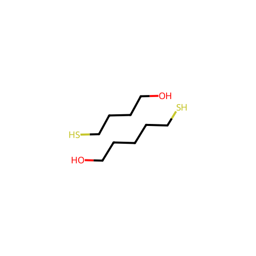 OCCCCCS.OCCCCS